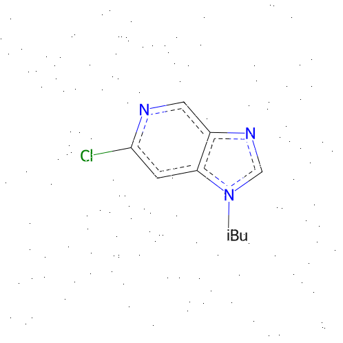 CCC(C)n1cnc2cnc(Cl)cc21